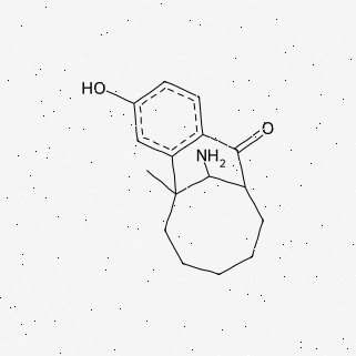 CC12CCCCCC(C(=O)c3ccc(O)cc31)C2N